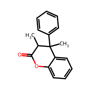 CC1C(=O)Oc2ccccc2C1(C)c1ccccc1